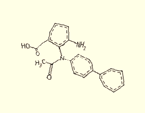 CC(=O)N(c1ccc(-c2ccccc2)cc1)c1c(N)cccc1C(=O)O